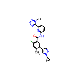 Cc1cc(F)c(C(=O)Nc2cccc(-c3nnnn3C(C)C)n2)cc1-c1cnn(C2CC2)c1